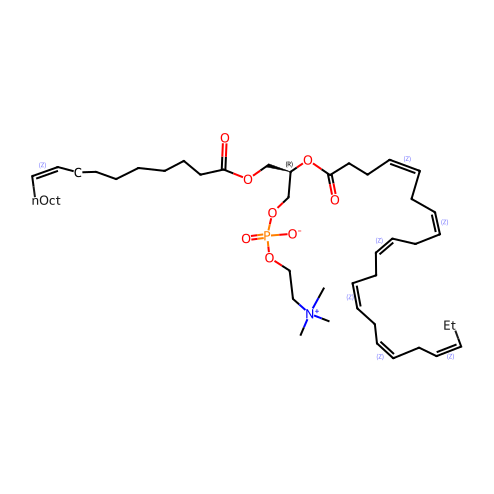 CC/C=C\C/C=C\C/C=C\C/C=C\C/C=C\C/C=C\CCC(=O)O[C@H](COC(=O)CCCCCCC/C=C\CCCCCCCC)COP(=O)([O-])OCC[N+](C)(C)C